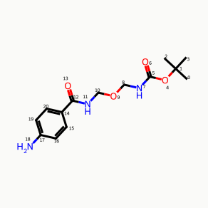 CC(C)(C)OC(=O)NCOCNC(=O)c1ccc(N)cc1